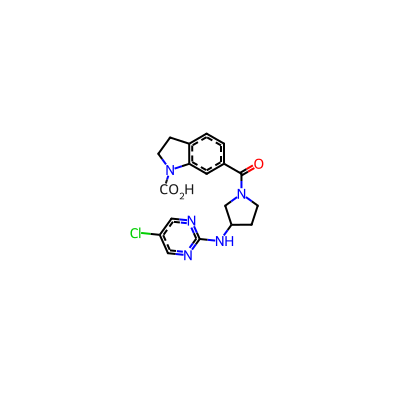 O=C(c1ccc2c(c1)N(C(=O)O)CC2)N1CCC(Nc2ncc(Cl)cn2)C1